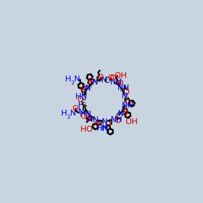 CCCC[C@H]1C(=O)N(C)CC(=O)N[C@@H](CC(=O)O)C(=O)N[C@@H](C(C)C)C(=O)N(C)[C@@H](Cc2ccccc2)C(=O)N[C@@H](Cc2ccc(O)cc2)C(=O)N(C)CC(=O)N[C@@H](Cc2c[nH]c3ccccc23)C(=O)N[C@@H](Cc2ccc(O)cc2)C(=O)N[C@@H](CC(C)C)C(=O)N[C@H](C(=O)NCC(N)=O)CSCC(=O)N[C@@H](Cc2ccc(CN)cc2)C(=O)N(C)[C@@H](Cc2ccccc2)C(=O)N1C